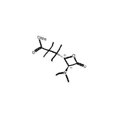 COC(=O)C(C)(C)C(C)(C)[C@@H]1OC(=O)[C@H]1N(C)C